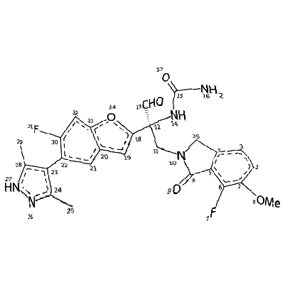 COc1ccc2c(c1F)C(=O)N(C[C@](C=O)(NC(N)=O)c1cc3cc(-c4c(C)n[nH]c4C)c(F)cc3o1)C2